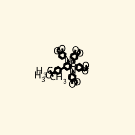 CC(C)(C)c1ccc(-c2cc3c4c(c2)N(c2ccc5c(c2)OCO5)c2cc5c(cc2B4c2cc4c(cc2N3c2ccc3c(c2)OCO3)OCO4)OCO5)cc1